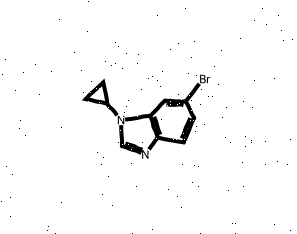 Brc1ccc2ncn(C3CC3)c2c1